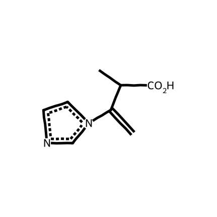 C=C(C(C)C(=O)O)n1ccnc1